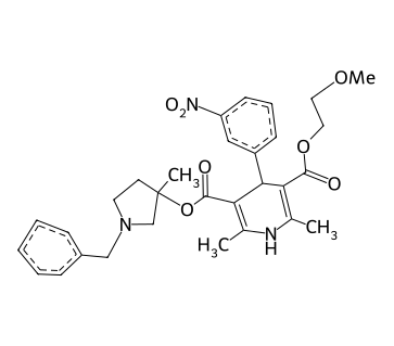 COCCOC(=O)C1=C(C)NC(C)=C(C(=O)OC2(C)CCN(Cc3ccccc3)C2)C1c1cccc([N+](=O)[O-])c1